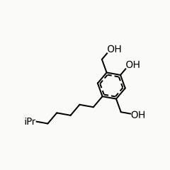 CC(C)CCCCCc1cc(CO)c(O)cc1CO